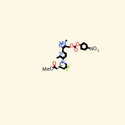 COC(=O)C[C@@H]1CN(c2ccc(-c3nnn(C)c3COC(=O)Oc3ccc([N+](=O)[O-])cc3)nc2C)CC(F)(F)C1